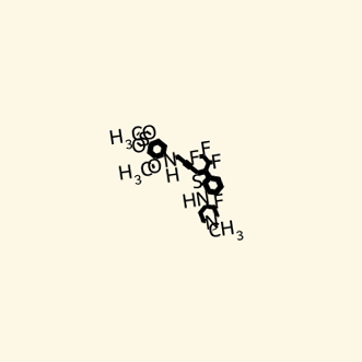 COc1cc(S(C)(=O)=O)ccc1NCC#Cc1sc2c(NC3CCN(C)CC3F)cccc2c1C(F)C(F)F